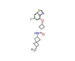 CC1CC2(C1)CC(NC(=O)[C@H]1C[C@H](Oc3cc(F)cc4scnc34)C1)C2